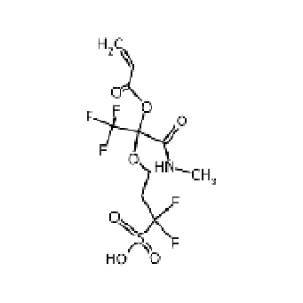 C=CC(=O)OC(OCCC(F)(F)S(=O)(=O)O)(C(=O)NC)C(F)(F)F